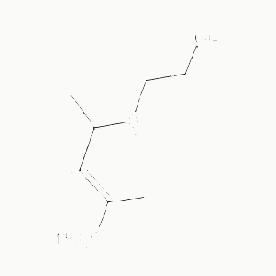 CC(=CC(C)OCCO)C(=O)O